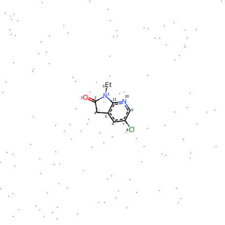 CCN1C(=O)Cc2cc(Cl)cnc21